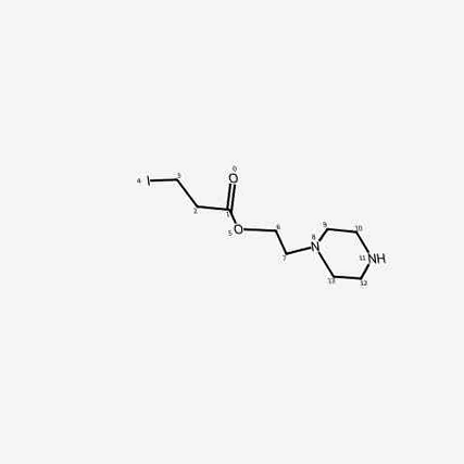 O=C(CCI)OCCN1CCNCC1